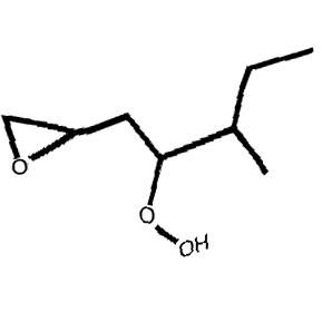 CCC(C)C(CC1CO1)OO